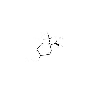 COC1CCC(C(=O)O)(C(C)(C)C)CC1